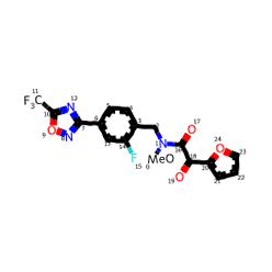 CON(Cc1ccc(-c2noc(C(F)(F)F)n2)cc1F)C(=O)C(=O)c1ccco1